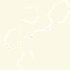 CCC(CC)C1CCCCC1NCNC1CCCCC1C(CC)CC